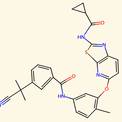 Cc1ccc(NC(=O)c2cccc(C(C)(C)C#N)c2)cc1Oc1ccc2nc(NC(=O)C3CC3)sc2n1